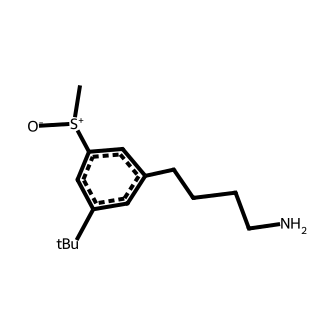 C[S+]([O-])c1cc(CCCCN)cc(C(C)(C)C)c1